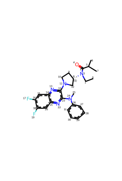 CCN(C(=O)C(C)C)[C@H]1CCN(c2nc3cc(F)c(F)cc3nc2N(C)c2ccccc2)C1